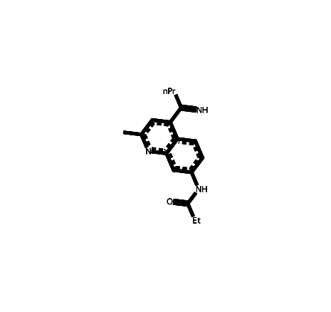 CCCC(=N)c1cc(C)nc2cc(NC(=O)CC)ccc12